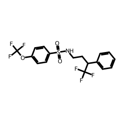 O=S(=O)(NCCC(c1ccccc1)C(F)(F)F)c1ccc(OC(F)(F)F)cc1